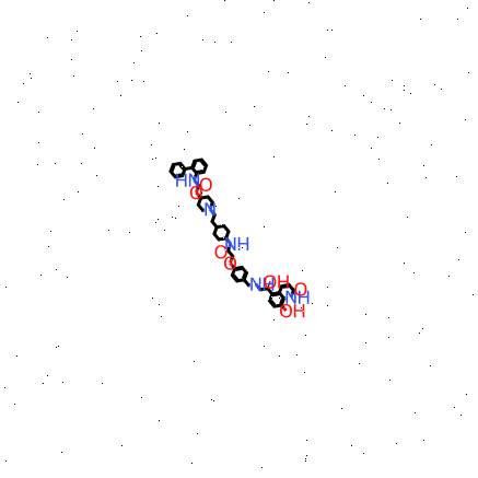 O=C(COc1ccc(CNC[C@@H](O)c2ccc(O)c3[nH]c(=O)ccc23)cc1)NC1CCC(CCN2CCC(OC(=O)Nc3ccccc3-c3ccccc3)CC2)CC1